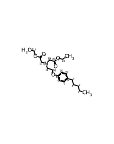 CCCCCc1ccc(OCCN(CC(=O)OCC)CC(=O)OCC)cc1